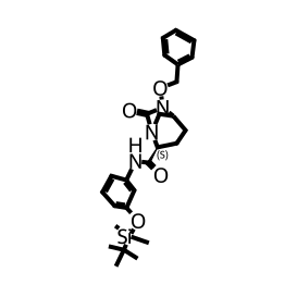 CC(C)(C)[Si](C)(C)Oc1cccc(NC(=O)[C@@H]2CCC3CN2C(=O)N3OCc2ccccc2)c1